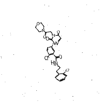 O=C(NCCc1ccccc1Cl)c1cc(-n2ncc(=O)n(CC(=O)N3CCOCC3)c2=O)ccc1Cl